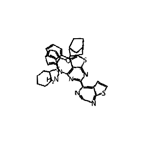 NN(c1ccccc1OC1CC2CCC1C2)c1nc(-c2ncnc3sccc23)nc2scc(-c3ccccc3SC3CCCCC3)c12